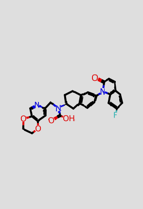 O=C(O)N(Cc1cc2c(cn1)OCCO2)[C@H]1CCc2cc(-n3c(=O)ccc4ccc(F)cc43)ccc2C1